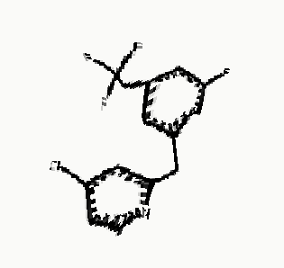 Fc1cc(Cc2cc(Cl)ccn2)cc(C(F)(F)F)c1